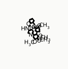 COc1ccc(-c2c(-c3cc4[nH]c(=O)[nH]c4cn3)cc(OC)c(OC)c2OC)cc1OCc1ccccc1